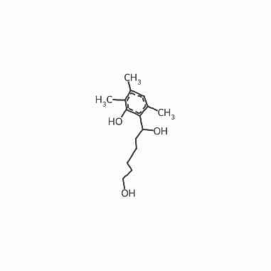 Cc1cc(C)c(C(O)CCCCCO)c(O)c1C